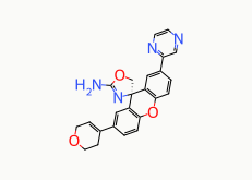 NC1=N[C@]2(CO1)c1cc(C3=CCOCC3)ccc1Oc1ccc(-c3cnccn3)cc12